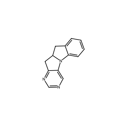 c1ccc2c(c1)CC1Cc3ncncc3N21